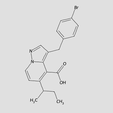 CCC(C)c1ccn2ncc(Cc3ccc(Br)cc3)c2c1C(=O)O